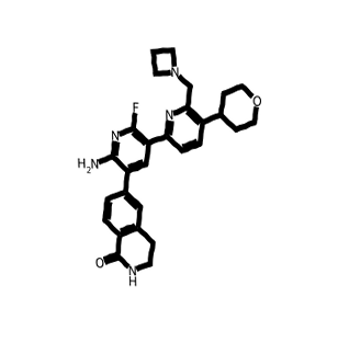 Nc1nc(F)c(-c2ccc(C3CCOCC3)c(CN3CCC3)n2)cc1-c1ccc2c(c1)CCNC2=O